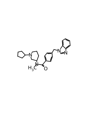 CN(C(=O)c1ccc(Cn2cnc3ccccc32)cc1)C1CCCN(C2CCCC2)C1